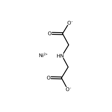 O=C([O-])CNCC(=O)[O-].[Ni+2]